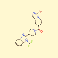 O=C(C1CCn2c(cnc2Br)C1)N1CCC(c2nc3ccccc3n2C(F)F)CC1